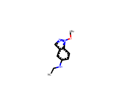 CCCCOn1ncc2cc(NCC#N)ccc21